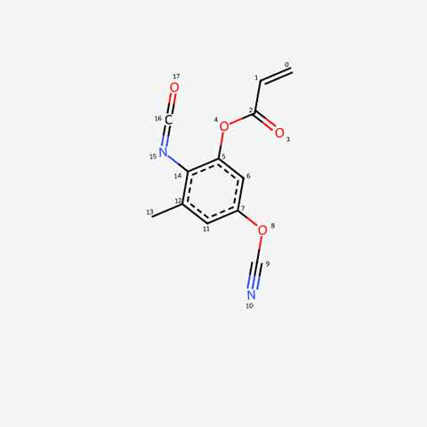 C=CC(=O)Oc1cc(OC#N)cc(C)c1N=C=O